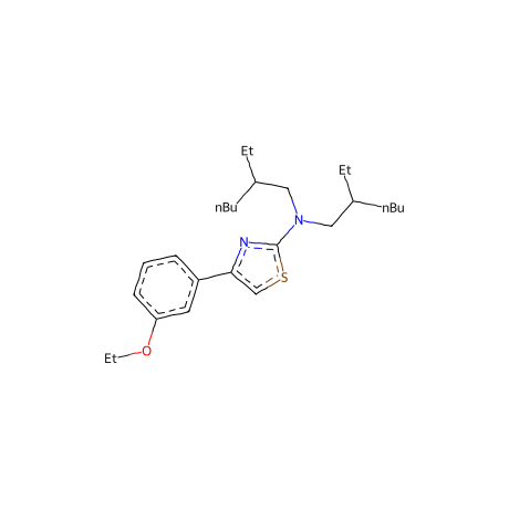 CCCCC(CC)CN(CC(CC)CCCC)c1nc(-c2cccc(OCC)c2)cs1